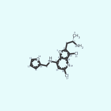 C[C@H](N)Cc1oc2c(NCc3ccco3)cc(Cl)nc2c1Cl